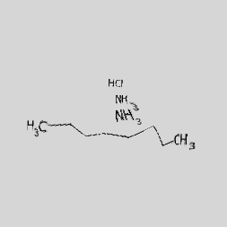 CCCCCCCC.Cl.N.N